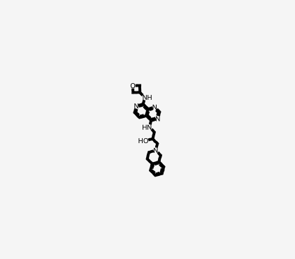 OC(CNc1ncnc2c(NC3COC3)nccc12)CN1CCc2ccccc2C1